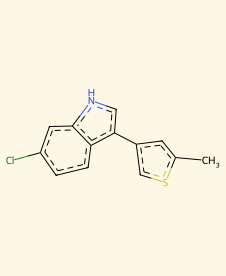 Cc1cc(-c2c[nH]c3cc(Cl)ccc23)cs1